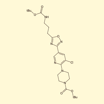 CC(C)(C)OC(=O)NCCCc1nc(-c2cnc(N3CCN(C(=O)OC(C)(C)C)CC3)c(Cl)c2)no1